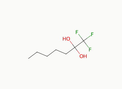 CCCCCC(O)(O)C(F)(F)F